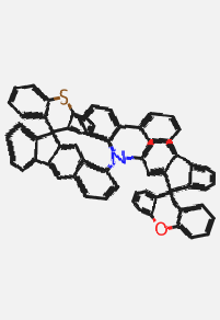 c1ccc(-c2ccccc2N(c2ccc3c(c2)C2(c4ccccc4Oc4ccccc42)c2ccccc2-3)c2cccc3cc4c(cc23)C2(c3ccccc3Sc3ccccc32)c2ccccc2-4)cc1